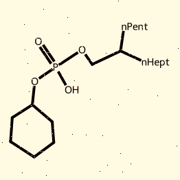 CCCCCCCC(CCCCC)COP(=O)(O)OC1CCCCC1